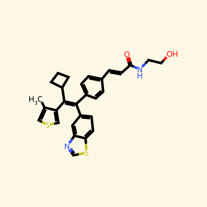 Cc1cscc1C(=C(c1ccc(C=CC(=O)NCCO)cc1)c1ccc2scnc2c1)C1CCC1